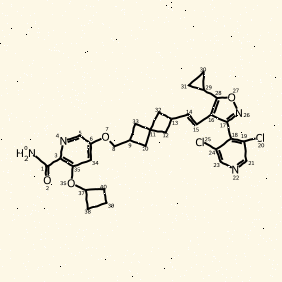 NC(=O)c1ncc(OCC2CC3(CC(C=Cc4c(-c5c(Cl)cncc5Cl)noc4C4CC4)C3)C2)cc1OC1CCC1